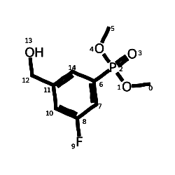 COP(=O)(OC)c1cc(F)cc(CO)c1